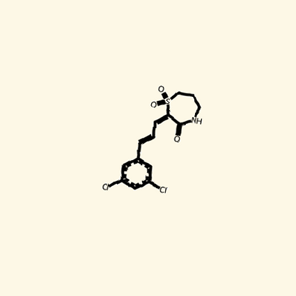 O=C1NCCCS(=O)(=O)/C1=C/C=C/c1cc(Cl)cc(Cl)c1